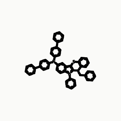 c1ccc(CC2c3ccccc3Sc3c2n(-c2ccccc2)c2ccc(N(c4ccc(-c5ccccc5)cc4)c4ccc(-c5ccccc5)cc4)cc32)cc1